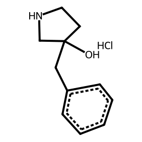 Cl.OC1(Cc2ccccc2)CCNC1